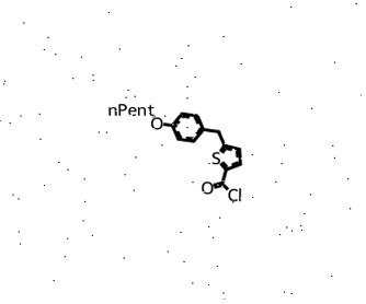 CCCCCOc1ccc(Cc2ccc(C(=O)Cl)s2)cc1